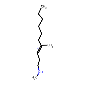 CCCCCC/C(C)=C/CCNC